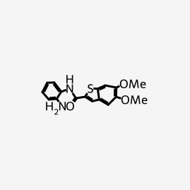 COc1cc2cc(C(=O)Nc3ccccc3N)sc2cc1OC